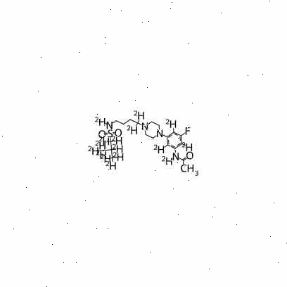 [2H]c1c(F)c([2H])c(N([2H])C(C)=O)c([2H])c1N1CCN(C([2H])([2H])CCCN([2H])S(=O)(=O)C([2H])([2H])C([2H])(C([2H])([2H])[2H])C([2H])([2H])[2H])CC1